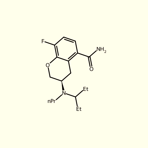 CCCN(C(CC)CC)[C@H]1COc2c(F)ccc(C(N)=O)c2C1